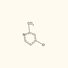 [O]c1ccnc(C(Cl)(Cl)Cl)c1